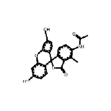 CC(=O)Nc1ccc2c(c1C)C(=O)OC21c2ccc(O)cc2Oc2cc(O)ccc21